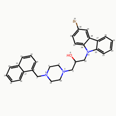 OC(CN1CCN(Cc2cccc3ccccc23)CC1)Cn1c2ccccc2c2cc(Br)ccc21